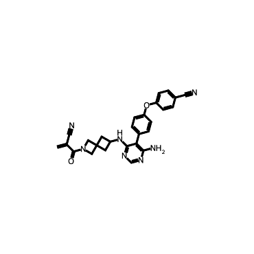 C=C(C#N)C(=O)N1CC2(CC(Nc3ncnc(N)c3-c3ccc(Oc4ccc(C#N)cc4)cc3)C2)C1